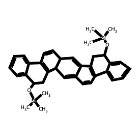 C[Si](C)(C)OC1CC2=C(C=CC3C=c4c5c(ccc4=CC23)-c2ccccc2C(O[Si](C)(C)C)C5)c2ccccc21